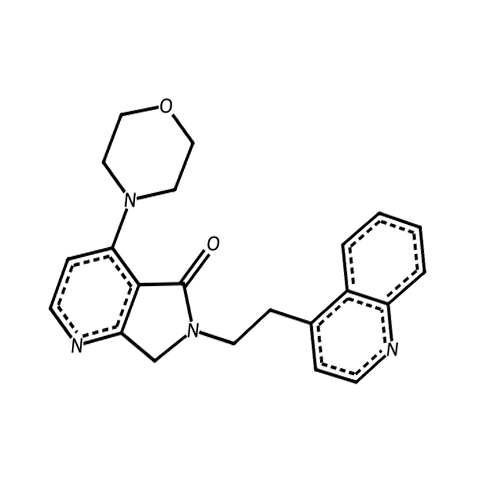 O=C1c2c(N3CCOCC3)ccnc2CN1CCc1ccnc2ccccc12